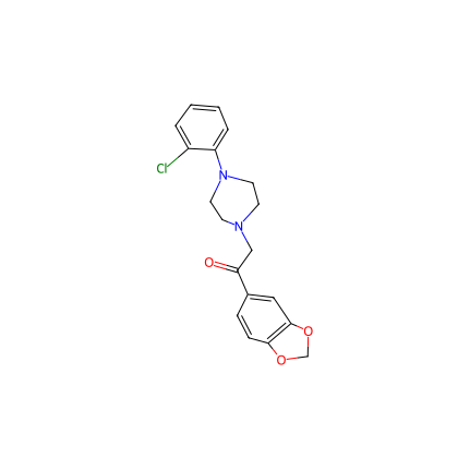 O=C(CN1CCN(c2ccccc2Cl)CC1)c1ccc2c(c1)OCO2